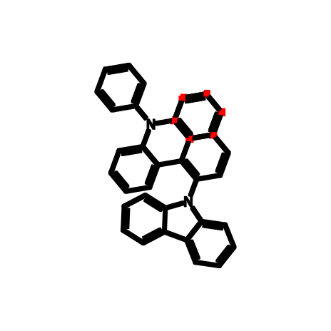 c1ccc(N(c2ccccc2)c2ccccc2-c2c(-n3c4ccccc4c4ccccc43)ccc3ccccc23)cc1